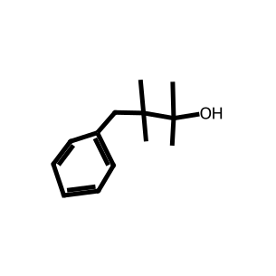 CC(C)(O)C(C)(C)Cc1ccccc1